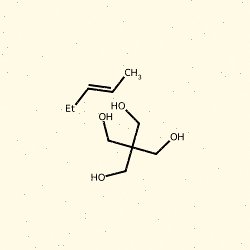 CC=CCC.OCC(CO)(CO)CO